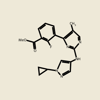 COC(=O)c1cccc(-c2nc(Nc3cnn(C4CC4)c3)ncc2C)c1F